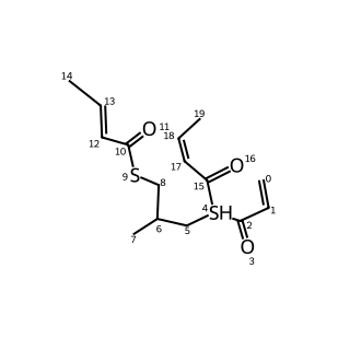 C=CC(=O)[SH](CC(C)CSC(=O)C=CC)C(=O)C=CC